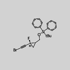 CC(C)(C)[Si](OCC1C[C@]1(F)C#CBr)(c1ccccc1)c1ccccc1